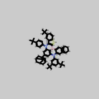 CC(C)(C)c1ccc(N2c3cc(C45CC6CC(CC(C6)C4)C5)cc4c3B(c3cc5c(cc3N4c3cc(C(C)(C)C)cc(C(C)(C)C)c3)C3CCC5CC3)c3sc4ccc(C(C)(C)C)cc4c32)cc1